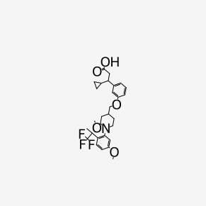 COc1ccc(C(C)(OC)C(F)(F)F)c(N2CCC(COc3cccc(C(CC(=O)O)C4CC4)c3)CC2)c1